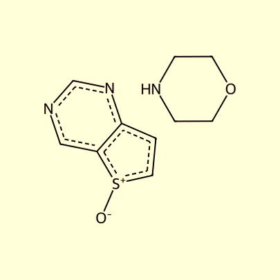 C1COCCN1.[O-][s+]1ccc2ncncc21